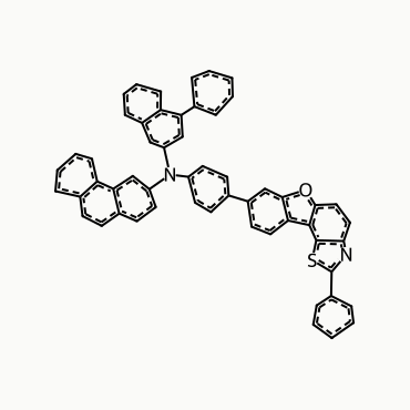 c1ccc(-c2nc3ccc4oc5cc(-c6ccc(N(c7cc(-c8ccccc8)c8ccccc8c7)c7ccc8ccc9ccccc9c8c7)cc6)ccc5c4c3s2)cc1